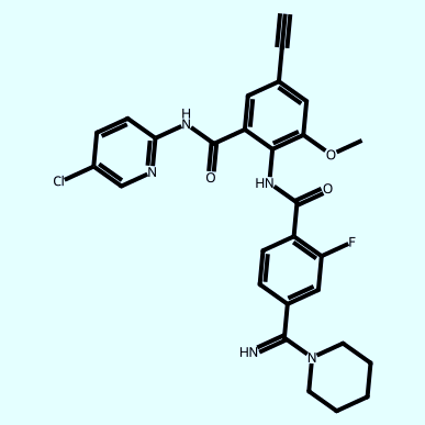 C#Cc1cc(OC)c(NC(=O)c2ccc(C(=N)N3CCCCC3)cc2F)c(C(=O)Nc2ccc(Cl)cn2)c1